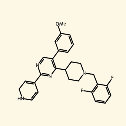 COc1cccc(-c2cnc(C3=CCNC=C3)nc2C2CCN(Cc3c(F)cccc3F)CC2)c1